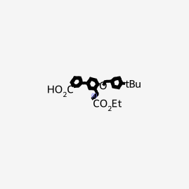 CCOC(=O)/C=C/c1cc(-c2cccc(C(=O)O)c2)ccc1OCc1ccc(C(C)(C)C)cc1